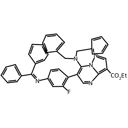 CCOC(=O)c1cnn2c(N(Cc3ccccc3)Cc3ccccc3)c(-c3ccc(N=C(c4ccccc4)c4ccccc4)cc3F)cnc12